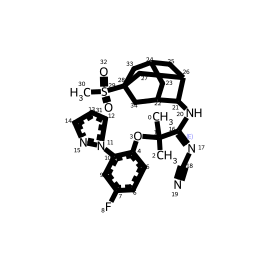 CC(C)(Oc1ccc(F)cc1-n1cccn1)/C(=N\C#N)NC1C2CC3CC1CC(S(C)(=O)=O)(C3)C2